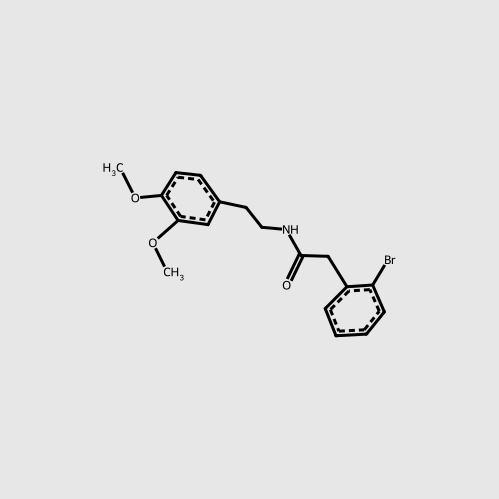 COc1ccc(CCNC(=O)Cc2ccccc2Br)cc1OC